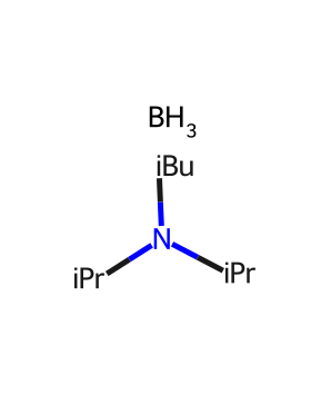 B.CCC(C)N(C(C)C)C(C)C